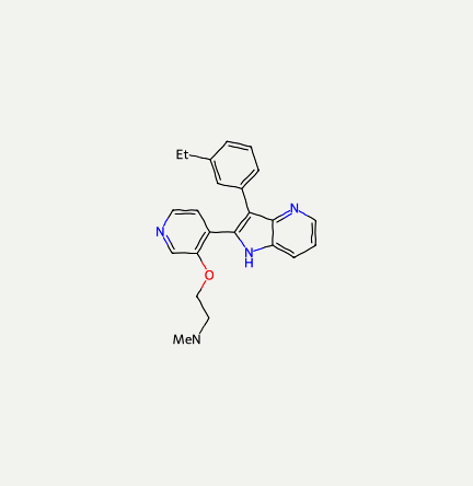 CCc1cccc(-c2c(-c3ccncc3OCCNC)[nH]c3cccnc23)c1